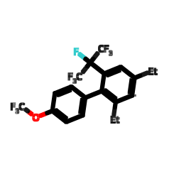 CCc1[c]c(CC)c(-c2ccc(OC(F)(F)F)cc2)c(C(F)(C(F)(F)F)C(F)(F)F)c1